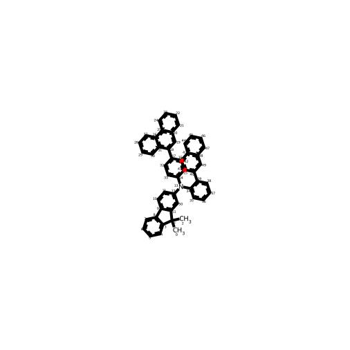 CC1(C)c2ccccc2-c2ccc(N(c3ccc(-c4cc5ccccc5c5ccccc45)cc3)c3ccccc3-c3ccc4ccccc4c3)cc21